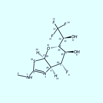 CNC1=N[C@@H]2[C@@H](F)[C@H](O)[C@@H]([C@H](O)C(F)(F)F)O[C@@H]2S1